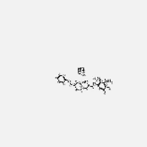 Cc1cc(OCC(O)CN2CCC(COc3ccccc3)CC2)c(N)c(N)c1C.Cl.Cl.Cl